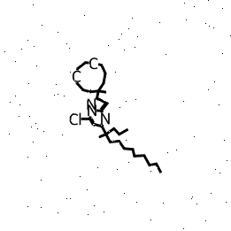 CCCCCCCCCC(C)(CCC)c1cc(Cl)n2nc(C3(C)CCCCCCCCCC3)cc2n1